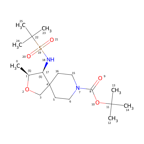 C[C@@H]1OCC2(CCN(C(=O)OC(C)(C)C)CC2)[C@@H]1NS(=O)(=O)C(C)(C)C